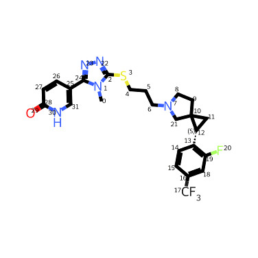 Cn1c(SCCCN2CCC3(C[C@@H]3c3ccc(C(F)(F)F)cc3F)C2)nnc1-c1ccc(=O)[nH]c1